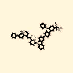 C=C(/C=C(\C=C/C)c1ccc(-c2ccccc2)cc1)c1ccnc(-n2c3ccccc3c3cc(-c4ccc5c6cc(C(C)(C)C)ccc6n(-c6ccccc6)c5c4)ccc32)n1